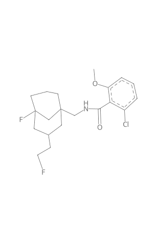 COc1cccc(Cl)c1C(=O)NCC12CCCC(F)(CC(CCF)C1)C2